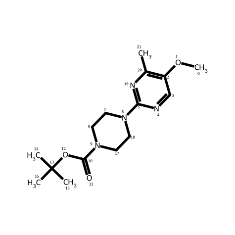 COc1cnc(N2CCN(C(=O)OC(C)(C)C)CC2)nc1C